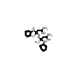 CC(CC(=N)N)(N=NC(C)(CC(=N)N)Nc1ccccc1)Nc1ccccc1